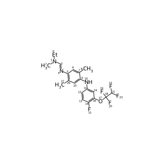 CCN(C)C=Nc1cc(C)c(Nc2ccc(F)c(OC(F)(F)C(F)F)c2)cc1C